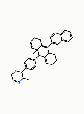 CC1N=CCCC1c1ccc(C2C3=CCCCC3C(c3ccc4ccccc4c3)=C3CCC=CC32C)cc1